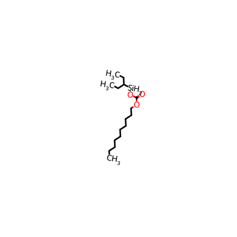 CCCCCCCCCCOC(=O)O[SiH2]C(CC)CC